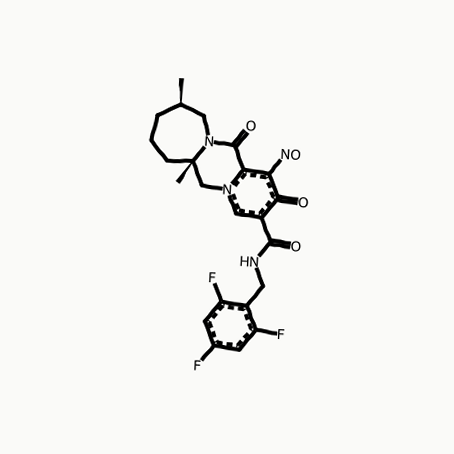 C[C@@H]1CCC[C@@]2(C)Cn3cc(C(=O)NCc4c(F)cc(F)cc4F)c(=O)c(N=O)c3C(=O)N2C1